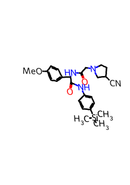 COc1ccc(C(NC(=O)CN2CCC(C#N)C2)C(=O)Nc2ccc([Si](C)(C)C)cc2)cc1